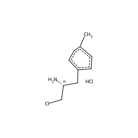 Cc1ccc(C[C@@H](N)CCl)cc1.Cl